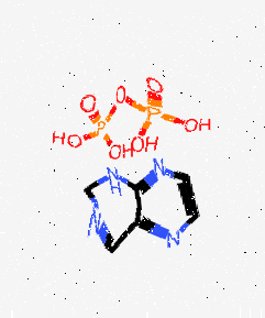 C1=NCNc2nccnc21.O=P(O)(O)OP(=O)(O)O